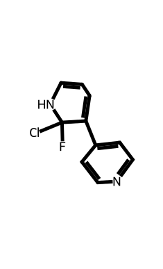 FC1(Cl)NC=CC=C1c1ccncc1